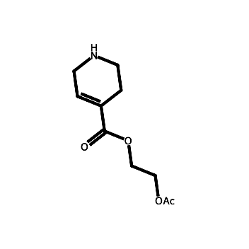 CC(=O)OCCOC(=O)C1=CCNCC1